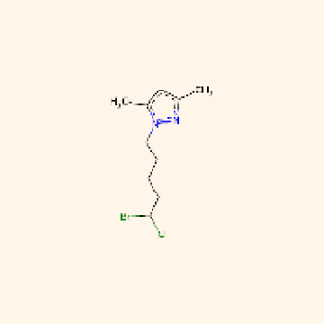 Cc1cc(C)n(CCCCC(Cl)Br)n1